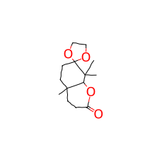 CC12CCC(=O)OC1C(C)(C)C1(CC2)OCCO1